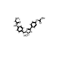 CC(C)(C)C(=O)Oc1ccc(-c2nnn(Cc3ccc(NC(=O)CN)cc3)n2)cc1.Cl